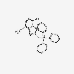 CCc1ncc(C)n2nc(C[PH](c3ccccc3)(c3ccccc3)c3ccccc3)nc12